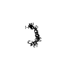 O=C(OCc1cc(Cl)c(F)c(Cl)c1)N1CCN(C2CCN(C(=O)c3ccc4[nH]nnc4c3)CC2)CC1